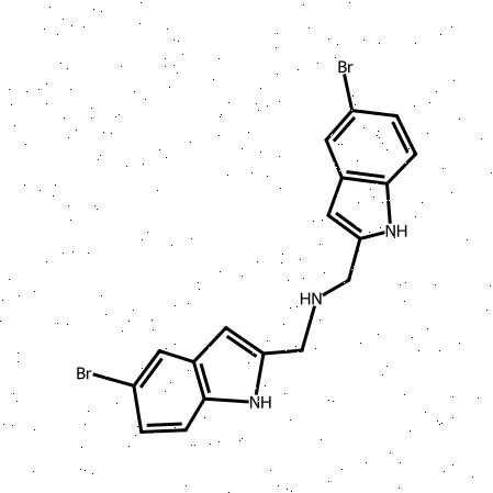 Brc1ccc2[nH]c(CNCc3cc4cc(Br)ccc4[nH]3)cc2c1